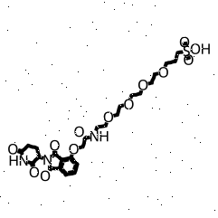 O=C(COc1cccc2c1C(=O)N(C1CCC(=O)NC1=O)C2=O)NCCOCCOCCOCCOCCCS(=O)(=O)O